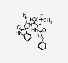 CC(C)(F)CC(NC(=O)OCc1ccccc1)C(=O)N1C[C@]2(C[C@H]1C#N)C(=O)Nc1ccccc12